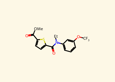 CCN(C(=O)c1ccc(C(=O)OC)s1)c1cccc(OC(F)(F)F)c1